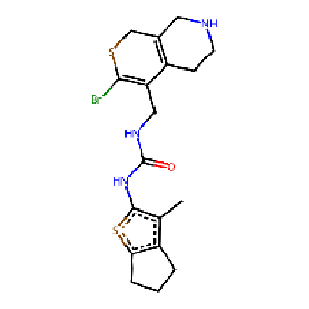 Cc1c(NC(=O)NCC2=C(Br)SCC3=C2CCNC3)sc2c1CCC2